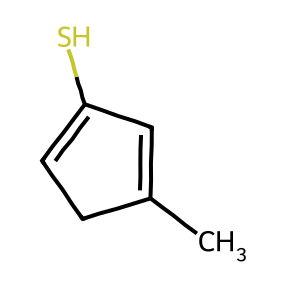 CC1=CC(S)=CC1